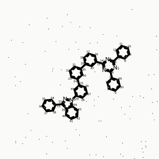 c1ccc(-c2nc(-c3ccccc3)nc(-c3cccc(-c4cccc(-c5cccc(-n6nc(-c7ccccc7)c7ccccc76)c5)c4)c3)n2)cc1